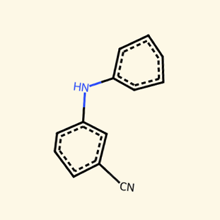 N#Cc1cccc(Nc2ccccc2)c1